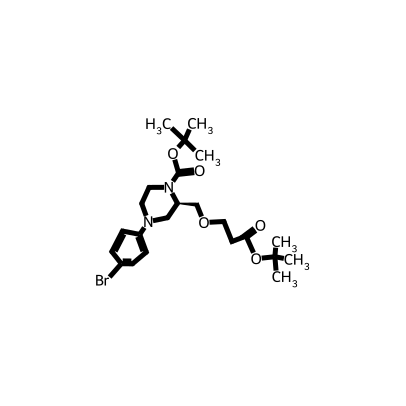 CC(C)(C)OC(=O)CCOC[C@H]1CN(c2ccc(Br)cc2)CCN1C(=O)OC(C)(C)C